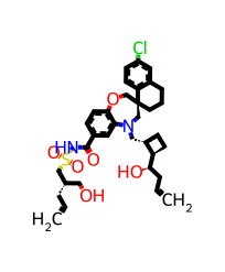 C=CC[C@@H](CO)CS(=O)(=O)NC(=O)c1ccc2c(c1)N(C[C@@H]1CC[C@H]1[C@@H](O)CC=C)C[C@@]1(CCCc3cc(Cl)ccc31)CO2